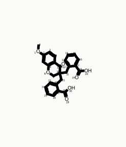 COc1ccc2c(c1)OCC(Cc1ccccc1C(=O)O)(Cc1ccccc1C(=O)O)C2=O